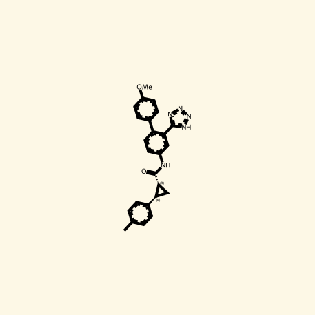 COc1ccc(-c2ccc(NC(=O)[C@@H]3C[C@H]3c3ccc(C)cc3)cc2-c2nnn[nH]2)cc1